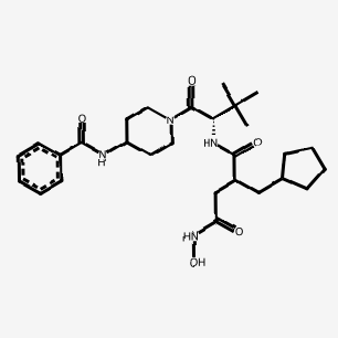 CC(C)(C)[C@H](NC(=O)C(CC(=O)NO)CC1CCCC1)C(=O)N1CCC(NC(=O)c2ccccc2)CC1